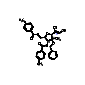 Cc1ccc(C(=O)OCC2OC(/C(C#N)=C/O)[C@](C)(OCc3ccccc3)[C@@H]2OC(=O)c2ccc(C)cc2)cc1